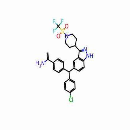 C=C(N)c1ccc(C(c2ccc(Cl)cc2)c2ccc3[nH]nc(C4CCN(S(=O)(=O)C(F)(F)F)CC4)c3c2)cc1